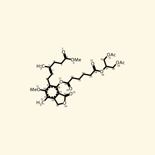 COC(=O)CC/C(C)=C/Cc1c(OC)c(C)c2c(c1OC(=O)CCCCC(=O)OC(COC(C)=O)COC(C)=O)C(=O)OC2